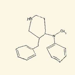 CN(c1ccccc1)C1CCNCC1Cc1ccccc1